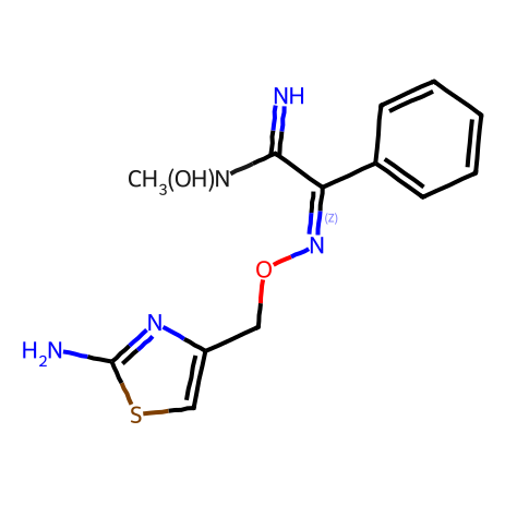 CN(O)C(=N)/C(=N\OCc1csc(N)n1)c1ccccc1